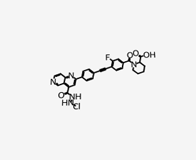 O=C(NNCl)c1cc(-c2ccc(C#Cc3ccc(C(=O)N4CCCCC4C(=O)O)cc3F)cc2)nc2ccncc12